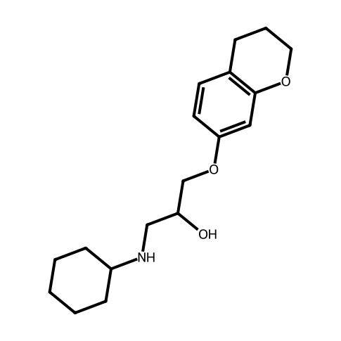 OC(CNC1CCCCC1)COc1ccc2c(c1)OCCC2